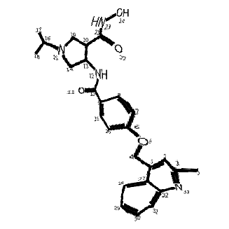 Cc1cc(COc2ccc(C(=O)NC3CN(C(C)C)CC3C(=O)NO)cc2)c2ccccc2n1